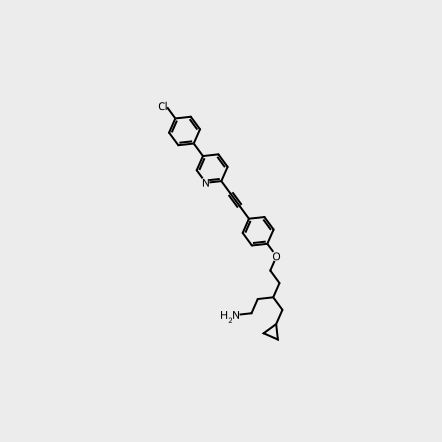 NCCC(CCOc1ccc(C#Cc2ccc(-c3ccc(Cl)cc3)cn2)cc1)CC1CC1